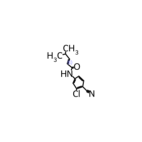 CC(C)/C=C/C(=O)Nc1ccc(C#N)c(Cl)c1